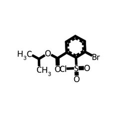 CC(C)OC(=O)c1cccc(Br)c1S(=O)(=O)Cl